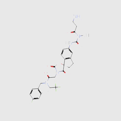 C[C@H](N(Cc1ccc(F)cc1)C(=O)CN1C(=O)O[C@@]2(CCc3cc(NC(=O)N(C)C(=O)CCN)ccc32)C1=O)C(F)(F)F